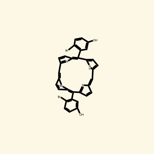 Oc1ccc(Br)c(-c2c3nc(cc4ccc([nH]4)c(-c4cc(O)ccc4Br)c4nc(cc5ccc2[nH]5)C=C4)C=C3)c1